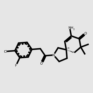 CC1(C)C[C@]2(C=C(N)C1=O)CCN(C(=O)Cc1ccc(Cl)c(F)c1)C2